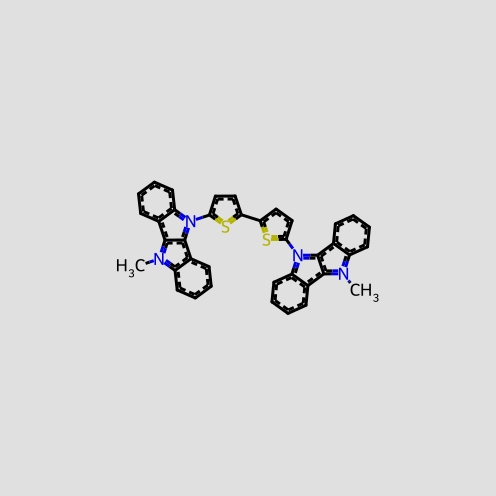 Cn1c2ccccc2c2c1c1ccccc1n2-c1ccc(-c2ccc(-n3c4ccccc4c4c3c3ccccc3n4C)s2)s1